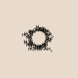 CC(C)C[C@@H]1NC(=O)[C@H](Cc2ccc(O)cc2)NC(=O)[C@H](Cc2c[nH]c3ccccc23)NC(=O)[C@@H](C)N(C)C(=O)[C@H](Cc2ccc(O)cc2)NC(=O)[C@H](Cc2ccccc2)N(C)C(=O)[C@H](C(C)C)NC(=O)[C@H](CC=O)NC(=O)[C@@H](C)N(C)C(=O)[C@H](C)N(C)C(=O)[C@H](Cc2ccccc2)N(C)C(=O)[C@H](Cc2cc(F)c(F)c(F)c2)NC(=O)CSC[C@@H](C(=O)NCC(N)O)NC1=O